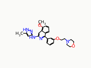 COc1cccc2c(-c3cccc(OCCN4CCOCC4)c3)nc(Nc3cc(C)[nH]n3)cc12